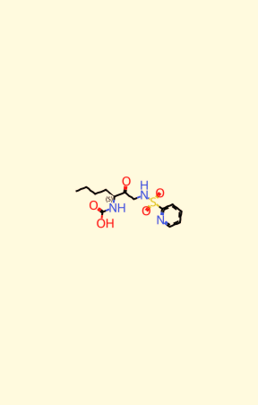 CCCC[C@H](NC(=O)O)C(=O)CNS(=O)(=O)c1ccccn1